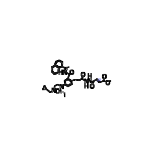 CC[C@@H]1CN(CC2CC2)CCN1c1ccc(CCC(=O)NNC(=O)/C=C/C(=O)OC)c(C(=O)N[C@H](C)c2cccc3ccccc23)c1